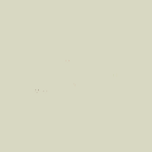 COc1ccc(C(=O)/C=C/c2ccc(Cl)cc2)c(Br)c1